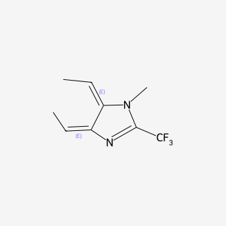 C/C=c1/nc(C(F)(F)F)n(C)/c1=C/C